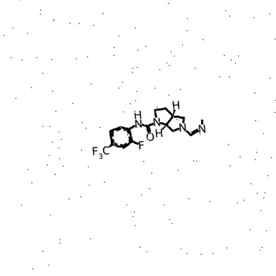 C/N=C\N1C[C@H]2CCN(C(=O)Nc3ccc(C(F)(F)F)cc3F)[C@H]2C1